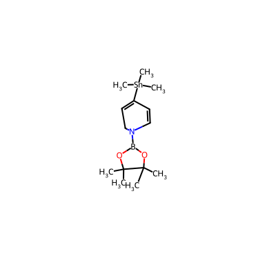 CC1(C)OB(N2C=C[C]([Sn]([CH3])([CH3])[CH3])=CC2)OC1(C)C